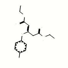 CCOC(=O)/C=C(/CC(=O)OCC)Nc1ccc(Cl)cc1